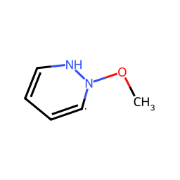 CON1[C]=CC=CN1